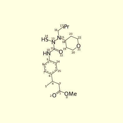 COC(=O)CC(C)c1ccc(NC(=O)N(S)N(CC(C)C)C2CCOCC2)cc1